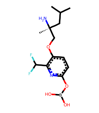 CC(C)C[C@](C)(N)COc1ccc(OB(O)O)nc1C(F)F